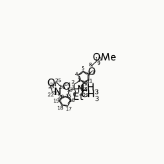 CCC(Cc1ccc(OCCOC)cc1)(C(=O)c1ccccc1N1CCOCC1)N(C)C